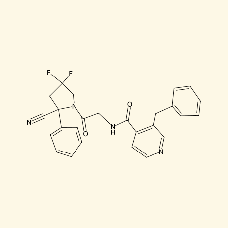 N#CC1(c2ccccc2)CC(F)(F)CN1C(=O)CNC(=O)c1ccncc1Cc1ccccc1